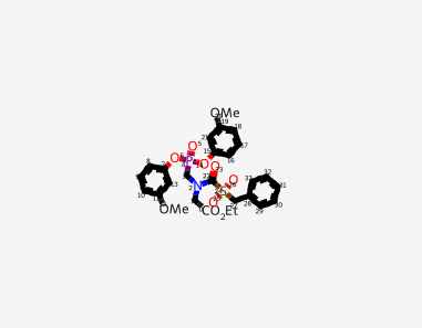 CCOC(=O)CN(CP(=O)(Oc1cccc(OC)c1)Oc1cccc(OC)c1)C(=O)S(=O)(=O)Cc1ccccc1